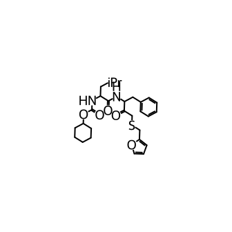 CC(C)CC(NC(=O)OC1CCCCC1)C(=O)NC(Cc1ccccc1)C(=O)CSCc1ccco1